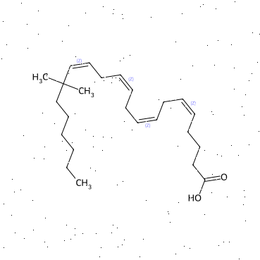 CCCCCCC(C)(C)/C=C\C/C=C\C/C=C\C/C=C\CCCC(=O)O